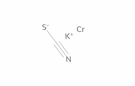 N#C[S-].[Cr].[K+]